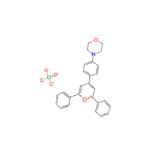 [O-][Cl+3]([O-])([O-])[O-].c1ccc(-c2cc(-c3ccc(N4CCOCC4)cc3)cc(-c3ccccc3)[o+]2)cc1